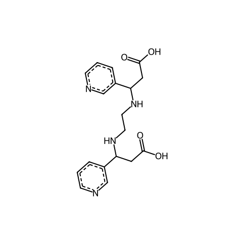 O=C(O)CC(NCCNC(CC(=O)O)c1cccnc1)c1cccnc1